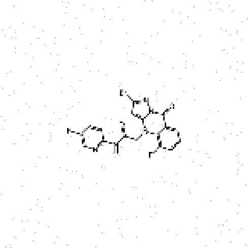 O=C(Cn1c2c(F)cccc2c(=O)n2nc(Br)cc12)Nc1ccc(F)cn1